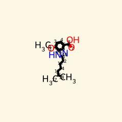 COc1ccc(C(=O)O)c2nc(CCCCC(C)C)[nH]c12